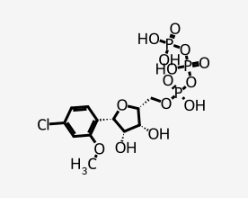 COc1cc(Cl)ccc1[C@@H]1O[C@H](COP(=O)(O)OP(=O)(O)OP(=O)(O)O)[C@H](O)[C@@H]1O